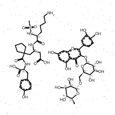 CS(=O)(=O)N[C@@H](CCCCN)C(=O)N[C@@H](CC(=O)O)CC1(C(=O)N[C@@H](Cc2ccc(O)cc2)C(=O)O)CCCC1.C[C@@H]1O[C@@H](OC[C@H]2O[C@@H](Oc3c(-c4ccc(O)c(O)c4)oc4cc(O)cc(O)c4c3=O)[C@H](O)[C@@H](O)[C@@H]2O)[C@H](O)[C@H](O)[C@H]1O